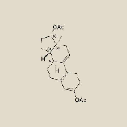 CC(=O)OC1=CC2=C(CC1)C1=CC[C@]3(C)[C@@H](OC(C)=O)CC[C@H]3[C@@H]1CC2